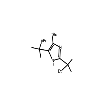 CCCC(C)(C)c1[nH]c(C(C)(C)CC)nc1C(C)(C)C